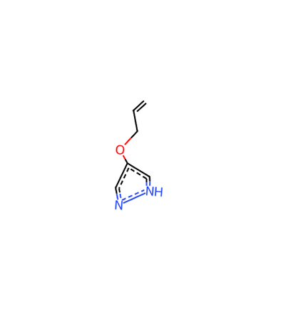 C=CCOc1cn[nH]c1